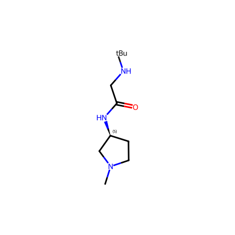 CN1CC[C@H](NC(=O)CNC(C)(C)C)C1